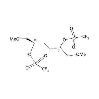 COC[C@@H](CC[C@@H](COC)OS(=O)(=O)C(F)(F)F)OS(=O)(=O)C(F)(F)F